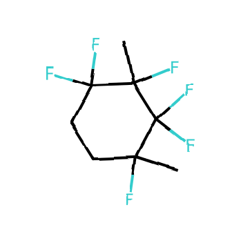 CC1(F)CCC(F)(F)C(C)(F)C1(F)F